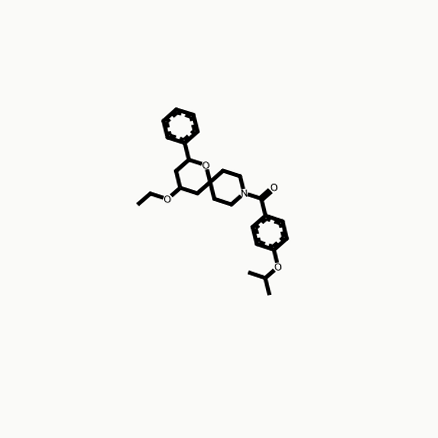 CCOC1CC(c2ccccc2)OC2(CCN(C(=O)c3ccc(OC(C)C)cc3)CC2)C1